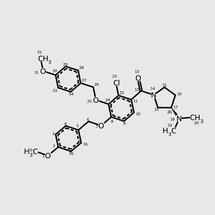 COc1ccc(COc2ccc(C(=O)N3CC[C@@H](N(C)C)C3)c(Cl)c2OCc2ccc(OC)cc2)cc1